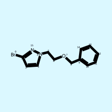 Brc1ccn(CCOCc2ccccc2)n1